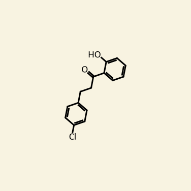 O=C(CCc1ccc(Cl)cc1)c1ccccc1O